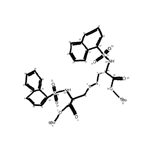 CC(C)(C)OC(=O)C(CSSC[C@H](NS(=O)(=O)c1cccc2ccccc12)C(=O)OC(C)(C)C)NS(=O)(=O)c1cccc2ccccc12